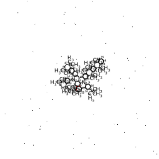 Cc1cc2c3c(c1)N(c1ccc(C(C)(C)C)cc1-c1ccc(C(C)(C)C)cc1)c1cc4c(cc1C3C1=C(c3cc5c(cc3C1)C(C)(C)CCC5(C)C)N2c1ccc2c(c1)C(C)(C)CCC2(C)C)C(C)(C)c1cc2c(cc1C4(C)C)C(C)(C)c1ccccc1C2(C)C